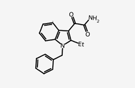 CCc1c(C(=O)C(N)=O)c2[c]cccc2n1Cc1ccccc1